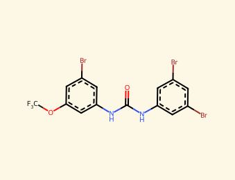 O=C(Nc1cc(Br)cc(Br)c1)Nc1cc(Br)cc(OC(F)(F)F)c1